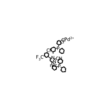 CCCc1cc(-c2cc(C(F)(F)F)cc(C(F)(F)F)c2)nc(C#N)n1.[Cl-].[Cl-].[Pd+2].c1ccc(P(c2ccccc2)c2ccccc2)cc1.c1ccc(P(c2ccccc2)c2ccccc2)cc1